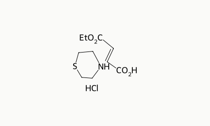 C1CSCCN1.CCOC(=O)/C=C/C(=O)O.Cl